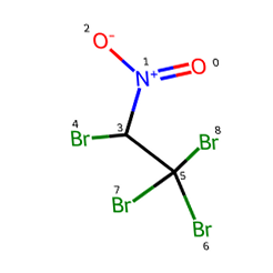 O=[N+]([O-])C(Br)C(Br)(Br)Br